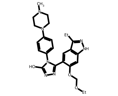 CCOCOc1cc2[nH]nc(CC)c2cc1-c1nnc(O)n1-c1ccc(N2CCN(C)CC2)cc1